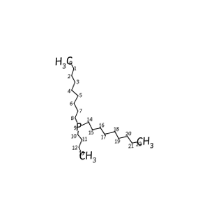 CCCCCCCCCP(CCCC)CCCCCCCCC